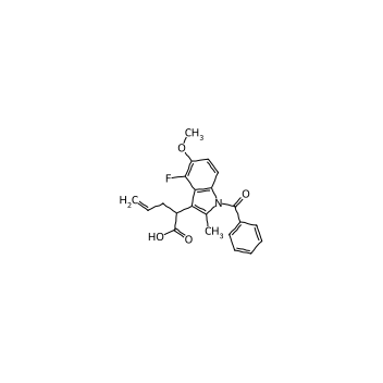 C=CCC(C(=O)O)c1c(C)n(C(=O)c2ccccc2)c2ccc(OC)c(F)c12